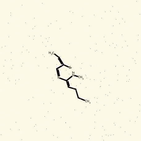 C\C=C(Br)/C=N\C(=C\CCC)NC